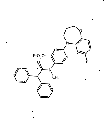 CCOC(=O)c1nc(N2CCCOc3ccc(F)cc32)ncc1N(C)C(=O)C(c1ccccc1)c1ccccc1